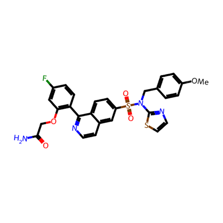 COc1ccc(CN(c2nccs2)S(=O)(=O)c2ccc3c(-c4ccc(F)cc4OCC(N)=O)nccc3c2)cc1